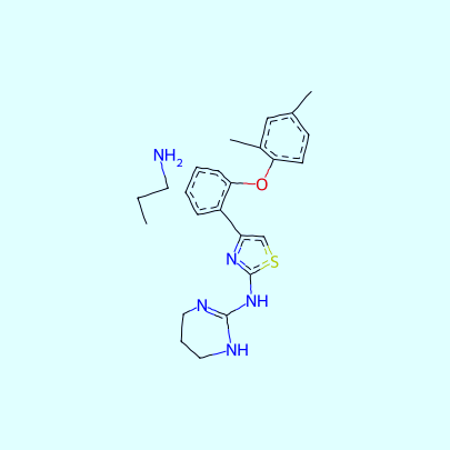 CCCN.Cc1ccc(Oc2ccccc2-c2csc(NC3=NCCCN3)n2)c(C)c1